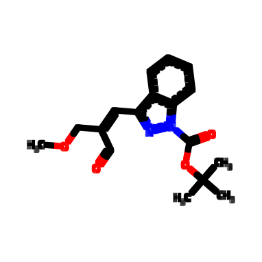 COC/C(C=O)=C/c1nn(C(=O)OC(C)(C)C)c2ccccc12